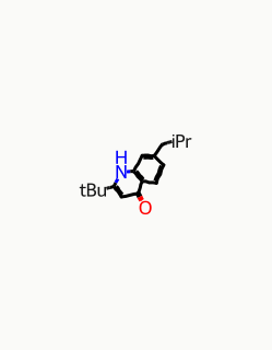 CC(C)Cc1ccc2c(=O)cc(C(C)(C)C)[nH]c2c1